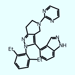 CCc1cccc(CC)c1-n1nc2c(c1-c1cccc3[nH]ncc13)CN(c1ncccn1)CC2